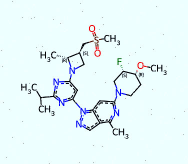 CO[C@@H]1CCN(c2cc3c(cnn3-c3cc(N4C[C@H](CS(C)(=O)=O)[C@H]4C)nc(C(C)C)n3)c(C)n2)C[C@@H]1F